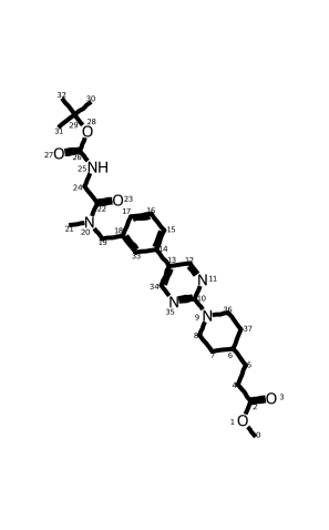 COC(=O)CCC1CCN(c2ncc(-c3cccc(CN(C)C(=O)CNC(=O)OC(C)(C)C)c3)cn2)CC1